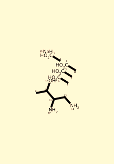 CC(=O)O.CC(=O)O.CC(=O)O.CC(=O)O.CC(O)C(N)CN.[NaH]